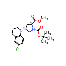 COC(=O)[C@@H]1C[C@@H](N2CCCc3cc(Cl)ccc32)CN1C(=O)OC(C)(C)C